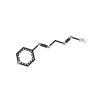 CN=NCN=Nc1ccncc1